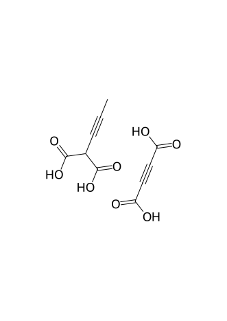 CC#CC(C(=O)O)C(=O)O.O=C(O)C#CC(=O)O